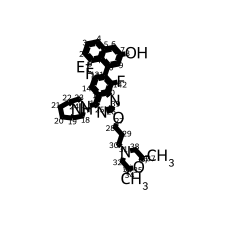 CCc1cccc2cc(O)cc(-c3c(F)cc4c(N5CC6CCC(C5)N6)nc(OCCCN5C[C@@H](C)O[C@@H](C)C5)nc4c3F)c12